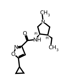 CC[C@@H]1CN(C)C[C@@H]1NC(=O)c1cc(C2CC2)on1